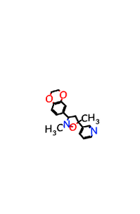 CN1OC(C)(c2cccnc2)CC1c1ccc2c(c1)OCCO2